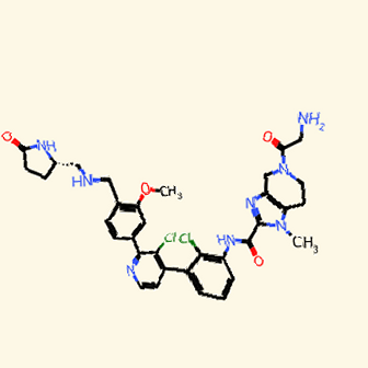 COc1cc(-c2nccc(-c3cccc(NC(=O)c4nc5c(n4C)CCN(C(=O)CN)C5)c3Cl)c2Cl)ccc1CNC[C@@H]1CCC(=O)N1